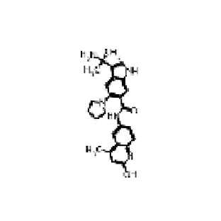 Cc1cc(O)nc2ccc(NC(=O)c3cc4[nH]cc(C(C)(C)N)c4cc3N3CCCC3)cc12